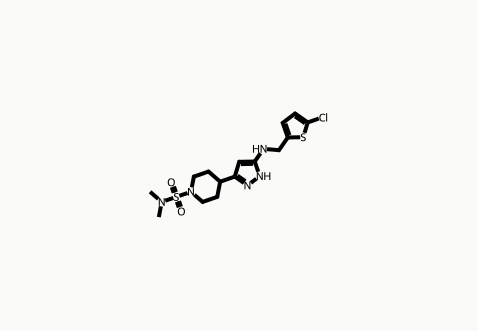 CN(C)S(=O)(=O)N1CCC(c2cc(NCc3ccc(Cl)s3)[nH]n2)CC1